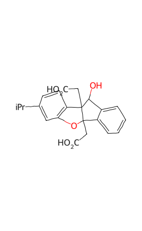 CC(C)c1ccc2c(c1)OC1(CC(=O)O)c3ccccc3C(O)C21CC(=O)O